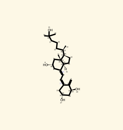 C=C1/C(=C\C=C2/C[C@H](O)C[C@]3(C)[C@@H]([C@H](C)CCCC(C)(C)O)CC[C@@H]23)C[C@@H](O)C[C@@H]1O